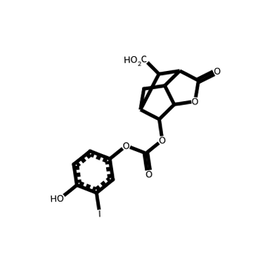 O=C(Oc1ccc(O)c(I)c1)OC1C2CC3C1OC(=O)C3C2C(=O)O